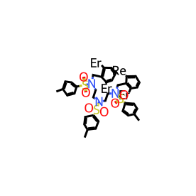 Cc1ccc(S(=O)(=O)N(CCN(Cc2[c]([Er])ccc[c]2[Er])S(=O)(=O)c2ccc(C)cc2)CCN(Cc2[c]([Er])ccc[c]2[Re])S(=O)(=O)c2ccc(C)cc2)cc1